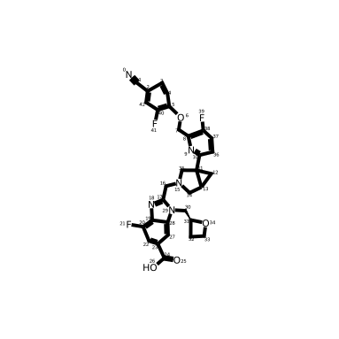 N#Cc1ccc(OCc2nc(C34CC3CN(Cc3nc5c(F)cc(C(=O)O)cc5n3C[C@@H]3CCO3)C4)ccc2F)c(F)c1